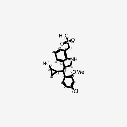 COc1cc(Cl)ccc1C(C1CNc2c(CS(C)(=O)=O)cccc21)C1CC1C#N